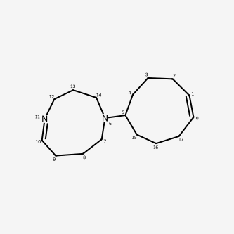 C1=CCCCC(N2CCCC=NCCC2)CCC1